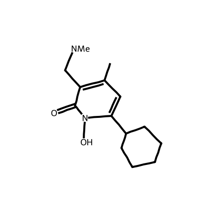 CNCc1c(C)cc(C2CCCCC2)n(O)c1=O